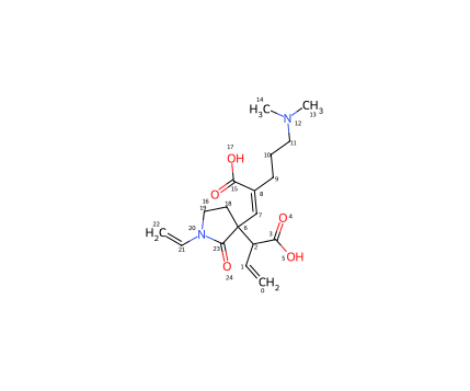 C=CC(C(=O)O)C1(C=C(CCCN(C)C)C(=O)O)CCN(C=C)C1=O